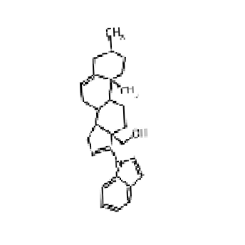 C[C@H]1CC[C@@]2(C)C(=CCC3C4CC=C(n5ccc6ccccc65)[C@@]4(CO)CCC32)C1